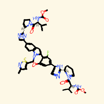 COC(=O)N[C@H](C(=O)N1CCC[C@H]1c1ncc(-c2cc(F)c3c(c2)OC(c2cc(C)ns2)n2c-3cc3cc(-c4cnc([C@@H]5CCCN5C(=O)[C@@H](NC(=O)OC)C(C)C)[nH]4)ccc32)[nH]1)C(C)C